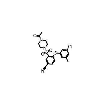 CC(=O)N1CCN(S(=O)(=O)c2cc(C#N)ccc2Sc2cc(C)cc(Cl)c2)CC1